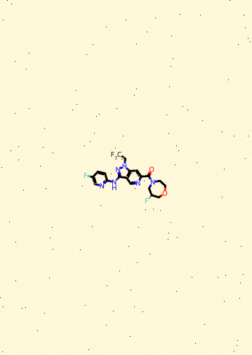 O=C(c1cc2c(cn1)c(Nc1ccc(F)cn1)nn2CC(F)(F)F)N1CCOC[C@@H](F)C1